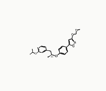 COCOc1cc(-c2ccc(O[C@@H](C)Cc3ccnc(OC(C)C)c3)cc2)on1